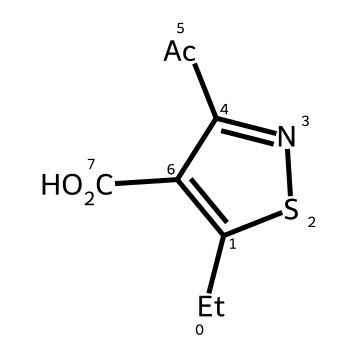 CCc1snc(C(C)=O)c1C(=O)O